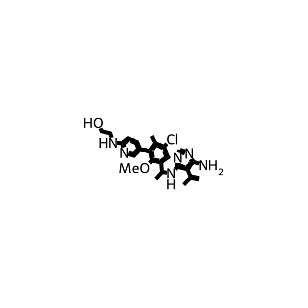 C=C(C)c1c(N)ncnc1NC(C)c1cc(Cl)c(C)c(-c2ccc(NCCO)nc2)c1OC